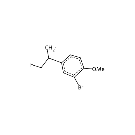 [CH2]C(CF)c1ccc(OC)c(Br)c1